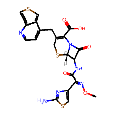 CON=C(C(=O)NC1C(=O)N2C(C(=O)O)=C(Cc3ccnc4cscc34)CS[C@@H]12)c1csc(N)n1